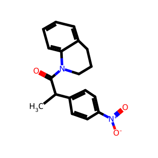 CC(C(=O)N1CCCc2ccccc21)c1ccc([N+](=O)[O-])cc1